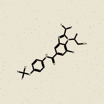 CC(CO)n1c(C(F)F)nc2cc(C(=O)Nc3ccc(OC(F)(F)Cl)cc3)cc(Br)c21